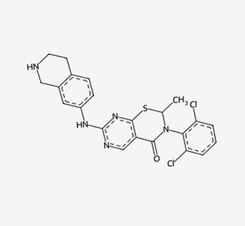 CC1Sc2nc(Nc3ccc4c(c3)CNCC4)ncc2C(=O)N1c1c(Cl)cccc1Cl